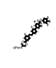 CCCCCC1COC(c2ccc(CCc3ccc(-c4cc(F)c(C(F)(F)Oc5cc(F)c(F)c(F)c5)c(F)c4)c(F)c3)c(F)c2)OC1